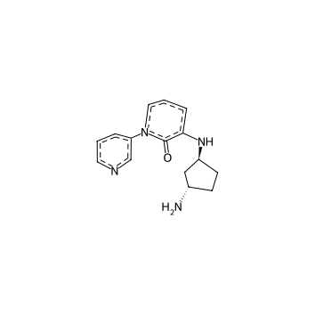 N[C@H]1CC[C@H](Nc2cccn(-c3cccnc3)c2=O)C1